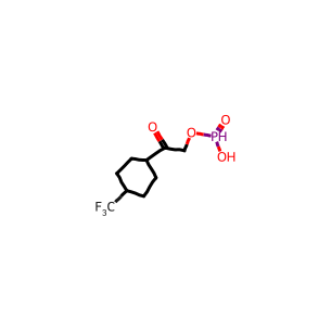 O=C(CO[PH](=O)O)C1CCC(C(F)(F)F)CC1